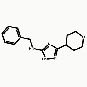 c1ccc(CNc2nc(C3CCOCC3)n[nH]2)cc1